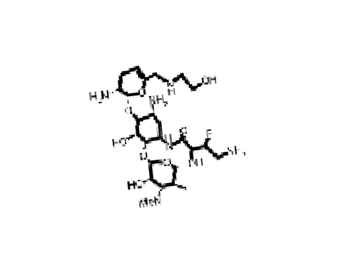 CN[C@@H]1[C@@H](O)[C@@H](O[C@H]2[C@H](NC(=O)C(O)C(F)CN)C[C@H](N)C(O[C@H]3OC(CNCCO)=CC[C@H]3N)[C@@H]2O)OC[C@H]1C